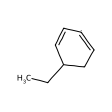 CCC1C=C[C]=CC1